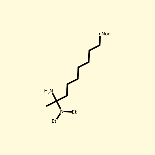 CCCCCCCCCCCCCCCCC(C)(N)N(CC)CC